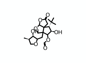 C[C@@H]1COC(CC23COC4OC(=O)CC42[C@H](C(C)(C)C)[C@@H](O)C3OC=O)[C@@H]1O